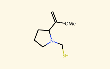 C=C(OC)C1CCCN1CS